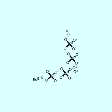 [K+].[K+].[K+].[K+].[O-2].[O-2].[O-][I+3]([O-])([O-])[O-].[O-][I+3]([O-])([O-])[O-].[O-][I+3]([O-])([O-])[O-].[O-][I+3]([O-])([O-])[O-].[Ru+4]